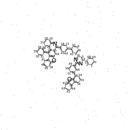 c1ccc(-c2cc(-c3cccc(-c4ccc(-c5nc6ccccc6c6c(-c7ccccc7)c7c(cc56)oc5ccccc57)cc4)c3)nc(-c3cccc(-c4cccc5c4oc4ccccc45)c3)n2)cc1